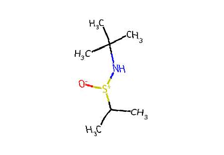 CC(C)[S+]([O-])NC(C)(C)C